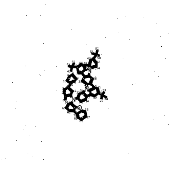 Cc1ccc(-c2ccccc2)cc1N(c1ccc2c3cc(C(C)(C)C)cc4c5cc6c(cc5n(c2c1)c34)c1cc(C(C)(C)C)cc2c3cc(C(C)(C)C)ccc3n6c21)c1cccc2c1oc1ccccc12